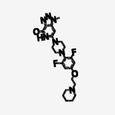 Cn1nnc2c(=O)[nH]c(N3CCN(c4c(F)cc(OCCN5CCCCC5)cc4F)CC3)cc21